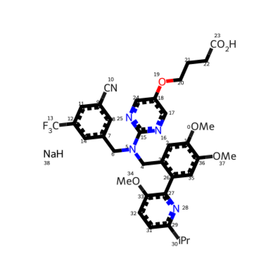 COc1cc(CN(Cc2cc(C#N)cc(C(F)(F)F)c2)c2ncc(OCCCC(=O)O)cn2)c(-c2nc(C(C)C)ccc2OC)cc1OC.[NaH]